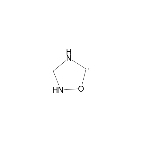 [CH]1NCNO1